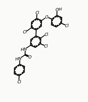 O=C(Nc1ccc(Cl)cc1)Nc1cc(Cl)c(Cl)c(-c2cc(Oc3ccc(Cl)cc3O)c(Cl)cc2Cl)c1